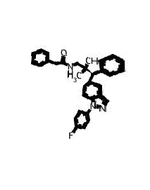 CC(C)(CNC(=O)Cc1ccccc1)[C@@H](c1ccccc1)c1ccc2c(cnn2-c2ccc(F)cc2)c1